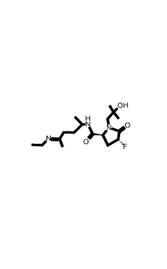 CC/N=C(\C)CCC(C)NC(=O)[C@@H]1C[C@@H](F)C(=O)N1CC(C)(C)O